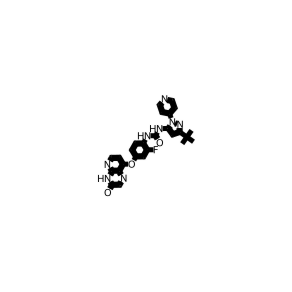 CC(C)(C)c1cc(NC(=O)Nc2ccc(Oc3ccnc4[nH]c(=O)cnc34)cc2F)n(-c2ccncc2)n1